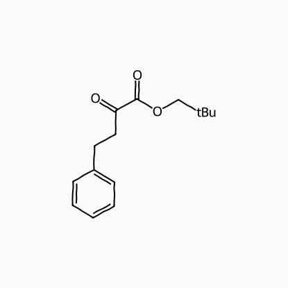 CC(C)(C)COC(=O)C(=O)CCc1ccccc1